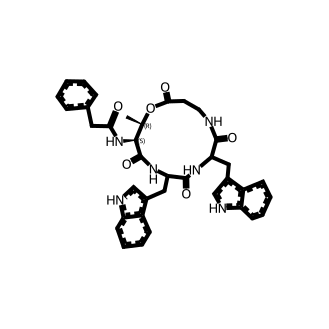 C[C@H]1OC(=O)CCNC(=O)C(Cc2c[nH]c3ccccc23)NC(=O)C(Cc2c[nH]c3ccccc23)NC(=O)[C@H]1NC(=O)Cc1ccccc1